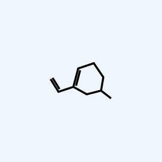 C=CC1=CCCC(C)C1